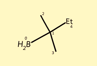 BC(C)(C)CC